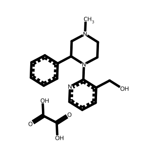 CN1CCN(c2ncccc2CO)C(c2ccccc2)C1.O=C(O)C(=O)O